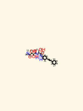 C[C@H](O)C(NC(=O)[C@H](O)[C@@H](O)C(=O)N(C)C)C(=O)Nc1ccc(C#Cc2ccccc2)cc1